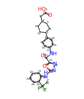 O=C(O)CC1CCC(c2ccc(NC(=O)c3nnc(Nc4ccccc4C(F)(F)F)o3)cc2)CC1